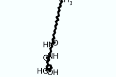 CCC=CCC=CCC=CCC=CCC=CCC=CC(=O)NCCCCNC(=O)/C=C/c1ccc(O)c(O)c1